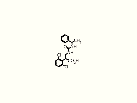 CC(NC(=O)NCC(C(=O)O)c1c(Cl)cccc1Cl)c1ccccc1